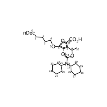 CCCCCCCCCCCCCCOc1cc(C(C)OC(=O)N(C2CCCCC2)C2CCCCC2)c(C(=O)O)o1